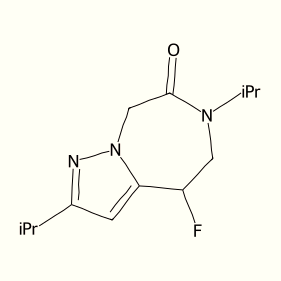 CC(C)c1cc2n(n1)CC(=O)N(C(C)C)CC2F